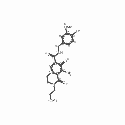 COCCN1CCn2cc(C(=O)NCc3ccc(F)c(OC)c3)c(=O)c(O)c2C1=O